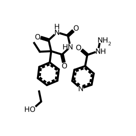 CCC1(c2ccccc2)C(=O)NC(=O)NC1=O.CCO.NNC(=O)c1ccncc1